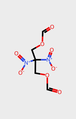 O=COCC(COC=O)([N+](=O)[O-])[N+](=O)[O-]